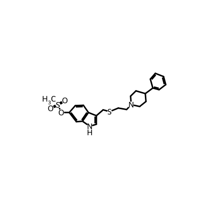 CS(=O)(=O)Oc1ccc2c(CSCCN3CCC(c4ccccc4)CC3)c[nH]c2c1